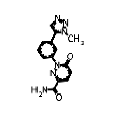 Cn1nncc1-c1cccc(-n2nc(C(N)=O)ccc2=O)c1